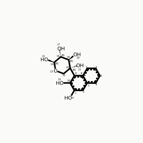 Oc1cc2ccccc2c([C@@]2(O)CO[C@@H](O)[C@H](O)[C@H]2O)c1O